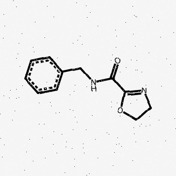 O=C(NCc1ccccc1)C1=NCCO1